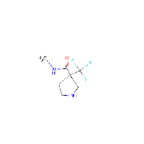 CNC(=O)C1(C(F)(F)F)CCNC1